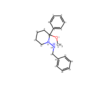 COC1(c2ccccc2)CCCCN1NCc1ccccc1